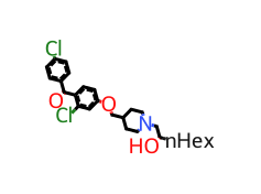 CCCCCCC(O)CN1CCC(COc2ccc(C(=O)c3ccc(Cl)cc3)c(Cl)c2)CC1